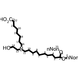 CCCCCCCCCOC(CCCCCCCCCN(CCO)CCCCCCCC(=O)O)OCCCCCCCCC